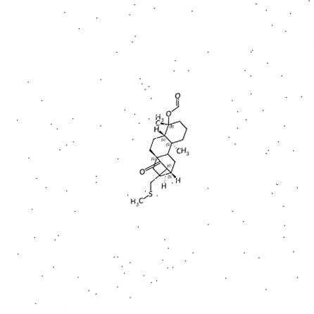 CSC[C@H]1C(=O)[C@]23CC[C@H]1CC2[C@]1(C)CCC[C@@](C)(OC=O)[C@H]1CC3